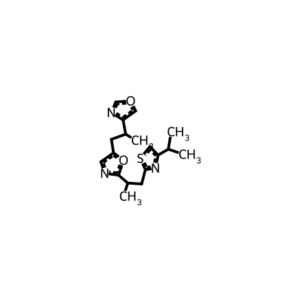 CC(C)c1csc(CC(C)c2ncc(CC(C)c3cocn3)o2)n1